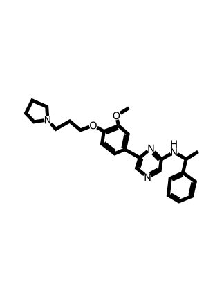 COc1cc(-c2cncc(NC(C)c3ccccc3)n2)ccc1OCCCN1CCCC1